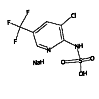 O=S(=O)(O)Nc1ncc(C(F)(F)F)cc1Cl.[NaH]